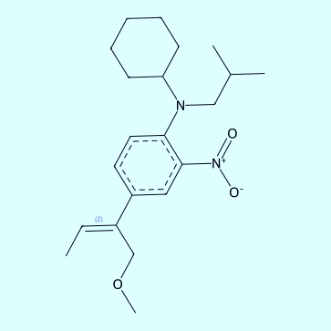 C/C=C(\COC)c1ccc(N(CC(C)C)C2CCCCC2)c([N+](=O)[O-])c1